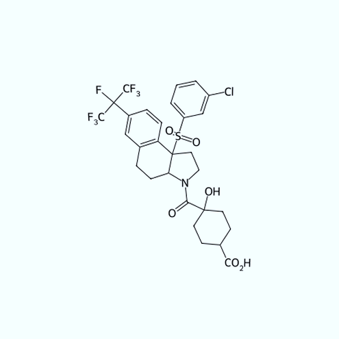 O=C(O)C1CCC(O)(C(=O)N2CCC3(S(=O)(=O)c4cccc(Cl)c4)c4ccc(C(F)(C(F)(F)F)C(F)(F)F)cc4CCC23)CC1